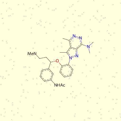 CNCCC(Oc1ccccc1-n1nc2c(N(C)C)nnc(C)c2c1C)c1cccc(NC(C)=O)c1